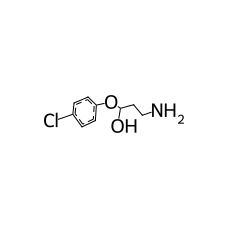 NCCC(O)Oc1ccc(Cl)cc1